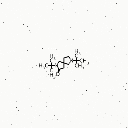 CC(C)(C)N1CCC2(CC(=O)N(C(C)(C)C)C2)C1